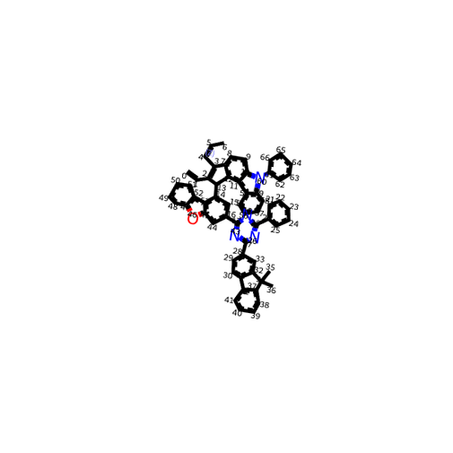 C=CC1=C(/C=C\C)c2ccc3c(c2C1c1cc(-c2nc(-c4ccccc4)nc(-c4ccc5c(c4)C(C)(C)c4ccccc4-5)n2)cc2oc4ccccc4c12)c1ccccc1n3-c1ccccc1